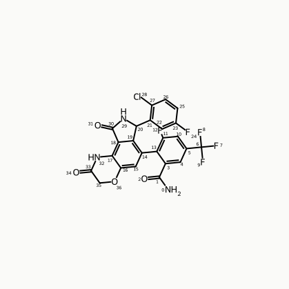 NC(=O)c1cc(C(F)(F)F)cc(F)c1-c1cc2c(c3c1C(c1cc(F)ccc1Cl)NC3=O)NC(=O)CO2